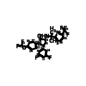 CC(C)(N[C@@H]1C[C@H](c2cc(F)cc(F)c2)N(c2ccc(OC(F)F)cc2)C1=O)c1cccc(C(F)(F)F)n1